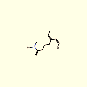 C=C(CCCC(/C=C\CC)=C/C)N(C)C(C)C